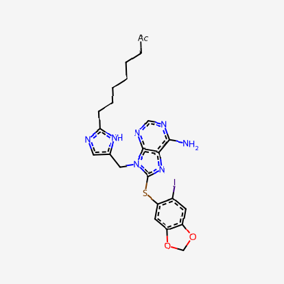 CC(=O)CCCCCCc1ncc(Cn2c(Sc3cc4c(cc3I)OCO4)nc3c(N)ncnc32)[nH]1